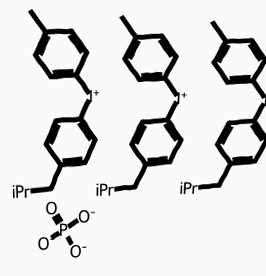 Cc1ccc([I+]c2ccc(CC(C)C)cc2)cc1.Cc1ccc([I+]c2ccc(CC(C)C)cc2)cc1.Cc1ccc([I+]c2ccc(CC(C)C)cc2)cc1.O=P([O-])([O-])[O-]